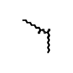 CCCCCC/C=C/C(=O)OOC(=O)/C=C/CCCCCC